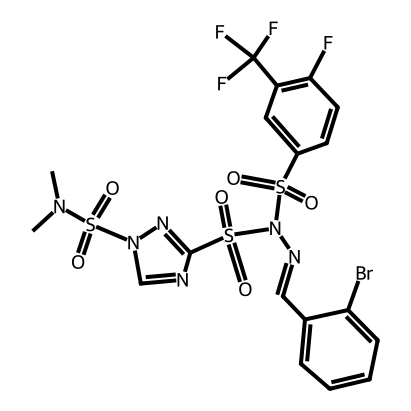 CN(C)S(=O)(=O)n1cnc(S(=O)(=O)N(/N=C/c2ccccc2Br)S(=O)(=O)c2ccc(F)c(C(F)(F)F)c2)n1